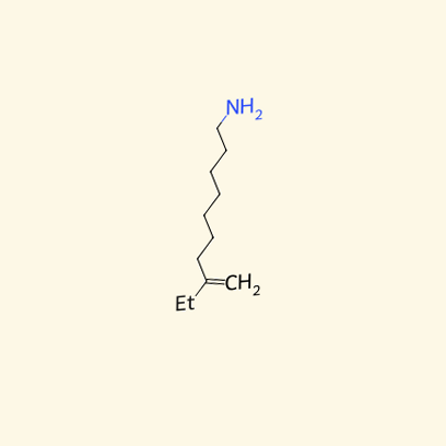 C=C(CC)CCCCCCCN